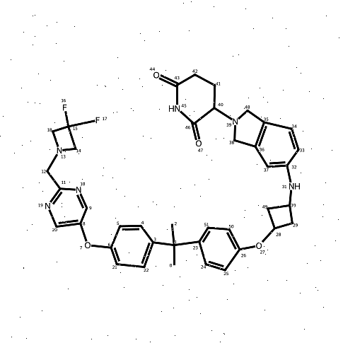 CC(C)(c1ccc(Oc2cnc(CN3CC(F)(F)C3)nc2)cc1)c1ccc(OC2CC(Nc3ccc4c(c3)CN(C3CCC(=O)NC3=O)C4)C2)cc1